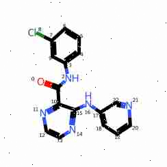 O=C(Nc1cccc(Cl)c1)c1nccnc1Nc1cccnc1